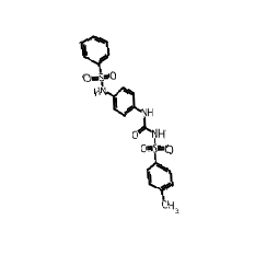 Cc1ccc(S(=O)(=O)NC(=O)Nc2ccc(NS(=O)(=O)c3ccccc3)cc2)cc1